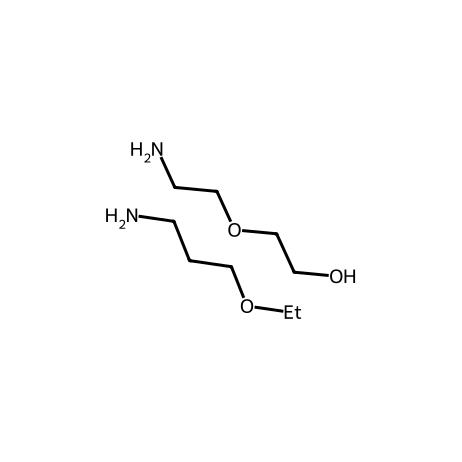 CCOCCCN.NCCOCCO